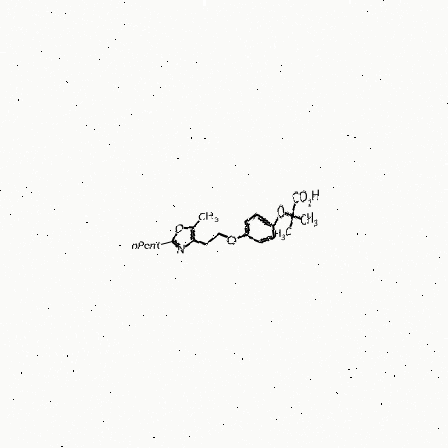 CCCCCc1nc(CCOc2ccc(OC(C)(C)C(=O)O)cc2)c(C)o1